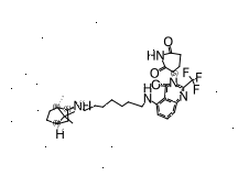 CC1(C)[C@@H]2CC[C@@]1(C)[C@@H](NCCCCCCCNc1cccc3nc(C(F)(F)F)n([C@H]4CCC(=O)NC4=O)c(=O)c13)C2